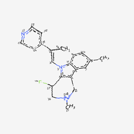 C/C(=C\n1c2c(c3cc(C)ccc31)CN(C)CC2F)c1ccncc1